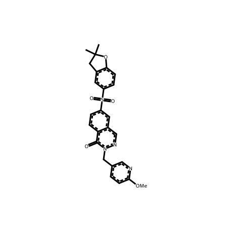 COc1ccc(Cn2ncc3cc(S(=O)(=O)c4ccc5c(c4)CC(C)(C)O5)ccc3c2=O)cn1